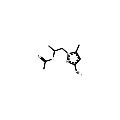 CC(=O)OC(C)Cn1nc(N)cc1C